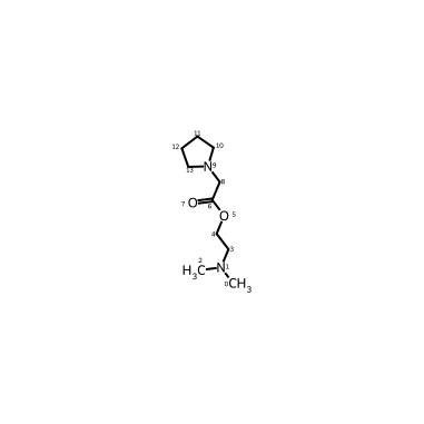 CN(C)CCOC(=O)CN1CCCC1